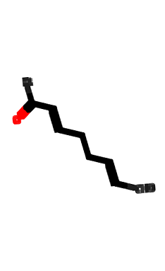 CCC(=O)C=CCC/C=C/C=O